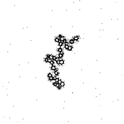 c1ccc2c(c1)Sc1cc3c(cc1C21c2ccccc2-c2ccccc21)c1ccc2ccccc2c1n3-c1ccc2oc3cc(-c4ccc5c(c4)-c4ccccc4C54c5ccccc5Sc5cc6c(cc54)c4ccc5ccccc5c4n6-c4ccc5sc6cc(-c7ccc8c(c7)-c7ccccc7C87c8ccccc8Sc8cc9c(cc87)c7ccc8ccccc8c7n9-c7ccc8c(c7)sc7ccccc78)ccc6c5c4)ccc3c2c1